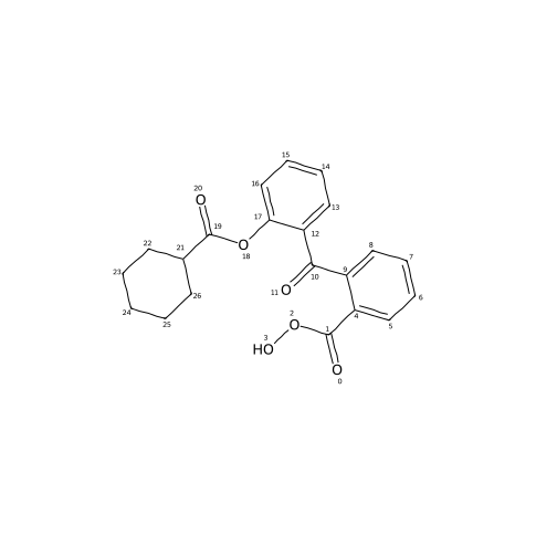 O=C(OO)c1ccccc1C(=O)c1ccccc1OC(=O)C1CCCCC1